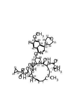 CC[C@@H]1C[C@H](C)CC/C=C\[C@@H]2C[C@@]2(C(=O)NS(=O)(=O)C2CC2)NC(=O)[C@@H]2C[C@@H](Oc3ncc(N4CCOCC4)c4cc(OC)c(F)cc34)CN2C(=O)[C@H]1NC(=O)O